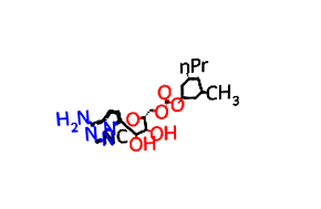 CCC[C@@H]1CC(C)C[C@H](OC(=O)OC[C@H]2O[C@@](C#N)(c3ccc4c(N)ncnn34)[C@H](O)[C@@H]2O)C1